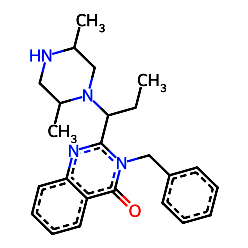 CCC(c1nc2ccccc2c(=O)n1Cc1ccccc1)N1CC(C)NCC1C